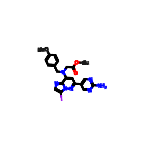 COc1ccc(CN(CC(=O)OC(C)(C)C)c2cc(-c3cnc(N)nc3)nn3c(I)cnc23)cc1